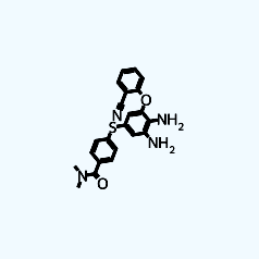 CN(C)C(=O)c1ccc(Sc2cc(N)c(N)c(Oc3ccccc3C#N)c2)cc1